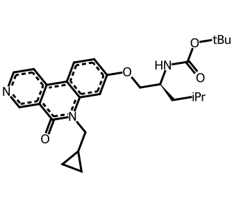 CC(C)C[C@@H](COc1ccc2c3ccncc3c(=O)n(CC3CC3)c2c1)NC(=O)OC(C)(C)C